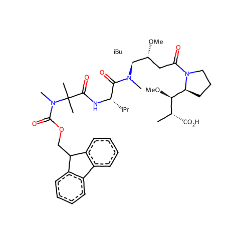 CC[C@H](C)[C@@H]([C@@H](CC(=O)N1CCC[C@H]1[C@H](OC)[C@@H](C)C(=O)O)OC)N(C)C(=O)[C@@H](NC(=O)C(C)(C)N(C)C(=O)OCC1c2ccccc2-c2ccccc21)C(C)C